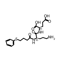 NCCC[C@@H](NC(=O)CCCSc1ccccc1)C(=O)N[C@H](CCC(=O)O)C(=O)O